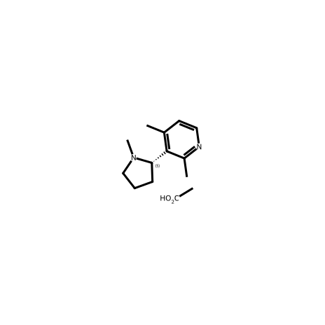 CC(=O)O.Cc1ccnc(C)c1[C@@H]1CCCN1C